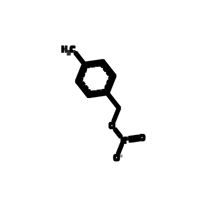 Cc1ccc(CO[N+](=O)[O-])cc1